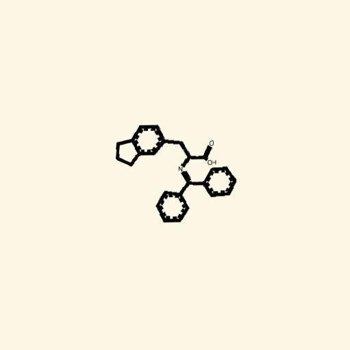 O=C(O)C(Cc1ccc2c(c1)CCC2)N=C(c1ccccc1)c1ccccc1